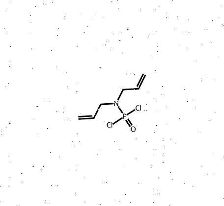 C=CCN(CC=C)P(=O)(Cl)Cl